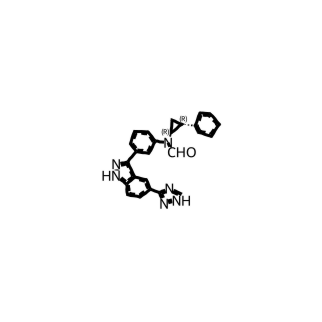 O=CN(c1cccc(-c2n[nH]c3ccc(-c4nc[nH]n4)cc23)c1)[C@@H]1C[C@@H]1c1ccccc1